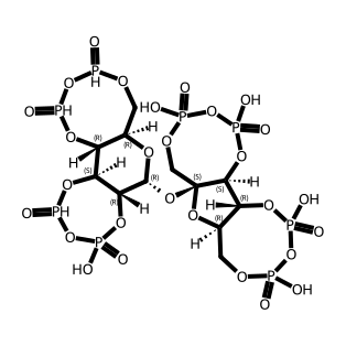 O=[PH]1OC[C@H]2O[C@H](O[C@@]34COP(=O)(O)OP(=O)(O)O[C@H]3[C@@H]3OP(=O)(O)OP(=O)(O)OC[C@H]3O4)[C@@H]3OP(=O)(O)O[PH](=O)O[C@H]3[C@@H]2O[PH](=O)O1